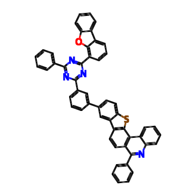 c1ccc(-c2nc(-c3cccc(-c4ccc5sc6c(ccc7c(-c8ccccc8)nc8ccccc8c76)c5c4)c3)nc(-c3cccc4c3oc3ccccc34)n2)cc1